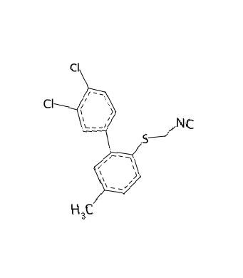 [C-]#[N+]CSc1ccc(C)cc1-c1ccc(Cl)c(Cl)c1